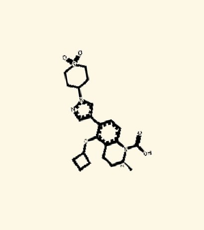 C[C@H]1CCc2c(ccc(-c3cnn(C4CCS(=O)(=O)CC4)c3)c2OC2CCC2)N1C(=O)O